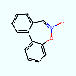 [O-][N+]1=Cc2ccccc2-c2ccccc2O1